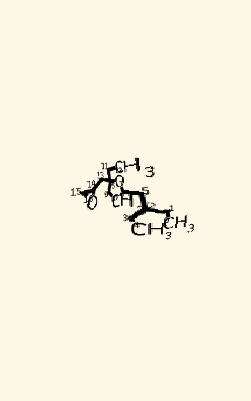 CCC(CC)CCOC(CC)(CC)CC1CO1